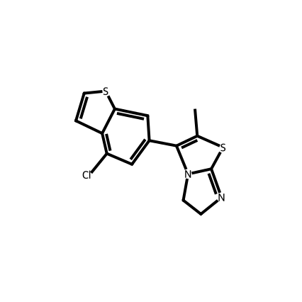 CC1=C(c2cc(Cl)c3ccsc3c2)N2CCN=C2S1